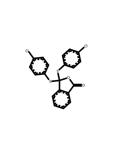 O=C1OC(Sc2ccc(Cl)cc2)(Sc2ccc(Cl)cc2)c2ccccc21